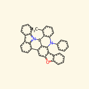 Cc1cccc2c1B1c3c(cc4oc5ccccc5c4c3N2c2ccccc2)-c2cccc3c4ccccc4n1c23